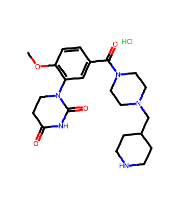 COc1ccc(C(=O)N2CCN(CC3CCNCC3)CC2)cc1N1CCC(=O)NC1=O.Cl